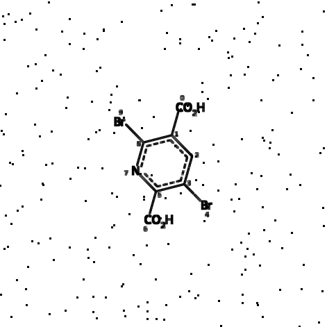 O=C(O)c1cc(Br)c(C(=O)O)nc1Br